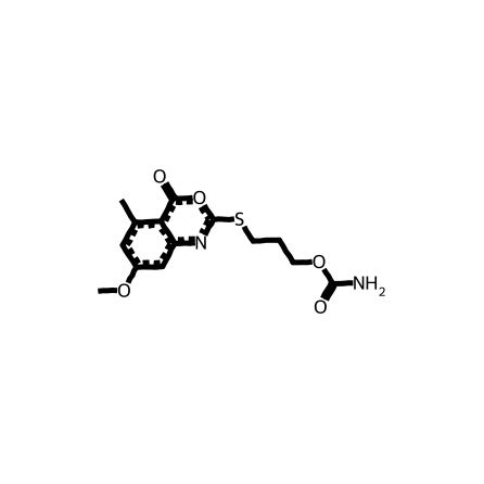 COc1cc(C)c2c(=O)oc(SCCCOC(N)=O)nc2c1